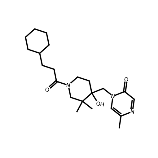 Cc1cn(CC2(O)CCN(C(=O)CCC3CCCCC3)CC2(C)C)c(=O)cn1